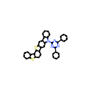 c1ccc(-c2nc(-c3ccccc3)nc(-n3c4ccccc4c4cc5sc6c(ccc7sc8ccccc8c76)c5cc43)n2)cc1